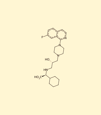 O=C(O)[C@@H](NC[C@H](O)CN1CCN(c2nccc3ccc(F)cc23)CC1)C1CCCCC1